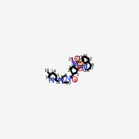 COc1cc(C(=O)N2CCN(Cc3ccc(C)cn3)CC2)ccc1N(I)S(=O)(=O)c1cccc2c1N=CCC2